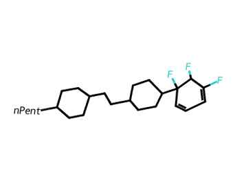 CCCCCC1CCC(CCC2CCC(C3(F)C=CC=C(F)C3F)CC2)CC1